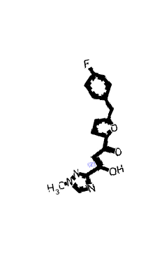 Cn1cnc(/C(O)=C/C(=O)c2ccc(Cc3ccc(F)cc3)o2)n1